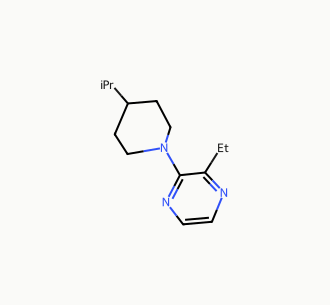 CCc1nccnc1N1CCC(C(C)C)CC1